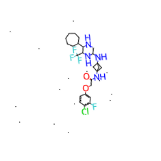 O=C(COc1ccc(Cl)c(F)c1)NC12CC(NC3CNC(C4CCCCCC4)C(C(F)(F)F)N3)(C1)C2